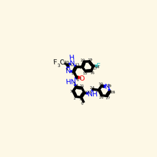 Cc1ccc(NC(=O)c2nc(C(F)(F)F)[nH]c2-c2ccc(F)cc2)cc1NCc1cccnc1